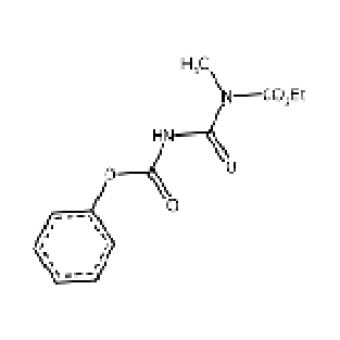 CCOC(=O)N(C)C(=O)NC(=O)Oc1ccccc1